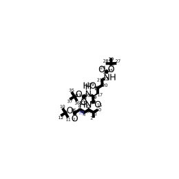 CC(C)[C@@H](/C=C/C(=O)OC(C)(C)C)NC(=O)[C@H](C[C@@H](O)CCNC(=O)OC(C)(C)C)NC(=O)OC(C)(C)C